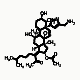 CC(=O)O[C@H]1C[C@@]2(C)[C@@H](C[C@@H](O)[C@@H]3[C@]2(C)CC[C@@]2(n4cc(CN)nn4)[C@H](C)[C@H](O)CC[C@]32C)/C1=C(\CCCC(C)C)C(C)=O